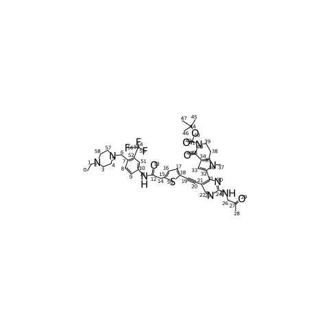 CCN1CCN(Cc2ccc(NC(=O)Cc3ccc(C#Cc4cnc(NCC(C)=O)nc4-c4cc5c(n4C)CCN(C(=O)OC(C)(C)C)C5=O)s3)cc2C(F)(F)F)CC1